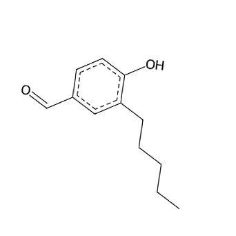 CCCCCc1cc(C=O)ccc1O